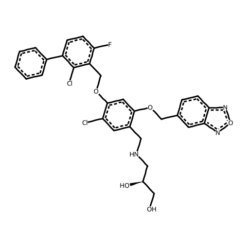 OC[C@@H](O)CNCc1cc(Cl)c(OCc2c(F)ccc(-c3ccccc3)c2Cl)cc1OCc1ccc2nonc2c1